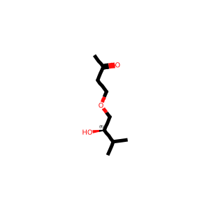 CC(=O)CCOC[C@H](O)C(C)C